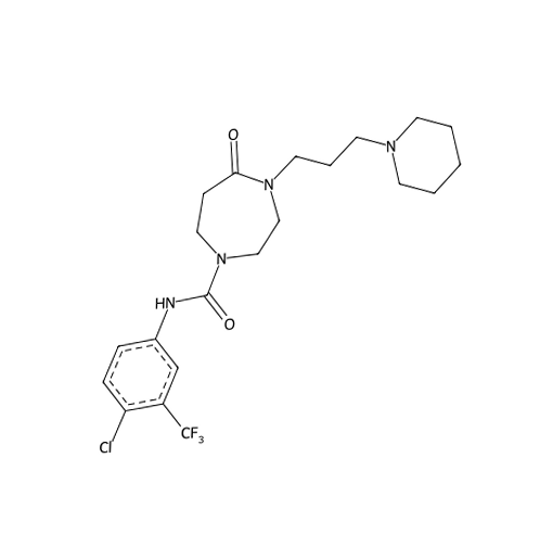 O=C1CCN(C(=O)Nc2ccc(Cl)c(C(F)(F)F)c2)CCN1CCCN1CCCCC1